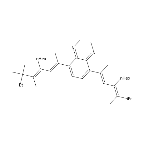 CCCCCCC(/C=C(\C)C1=CC=C(/C(C)=C/C(CCCCCC)=C(\C)C(C)(C)CC)C(=N/C)/C1=N\C)=C(/C)C(C)C